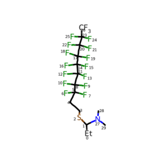 [CH2]CC(SCCC(F)(F)C(F)(F)C(F)(F)C(F)(F)C(F)(F)C(F)(F)C(F)(F)C(F)(F)F)N(C)C